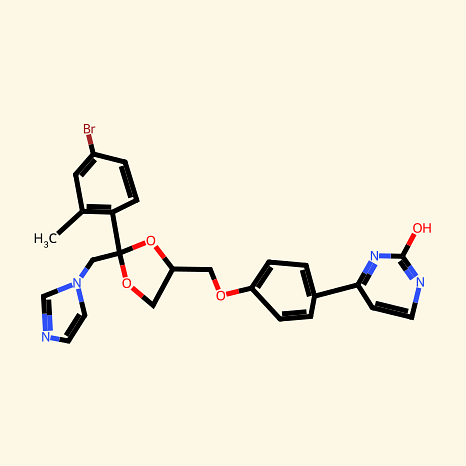 Cc1cc(Br)ccc1C1(Cn2ccnc2)OCC(COc2ccc(-c3ccnc(O)n3)cc2)O1